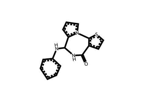 O=C1NC(Nc2ccccc2)c2cccn2-c2sccc21